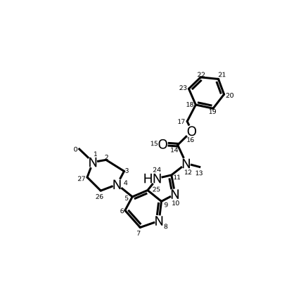 CN1CCN(c2ccnc3nc(N(C)C(=O)OCc4ccccc4)[nH]c23)CC1